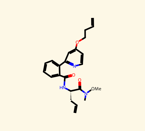 C=CCCOc1ccnc(-c2ccccc2C(=O)N[C@@H](CC=C)C(=O)N(C)OC)c1